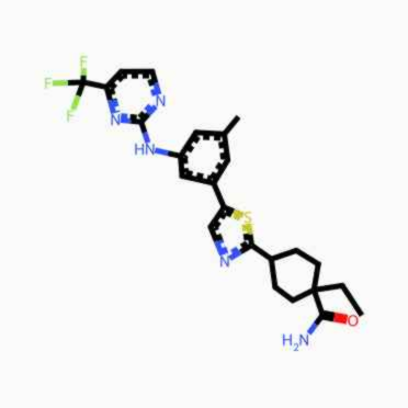 CCC1(C(N)=O)CCC(c2ncc(-c3cc(C)cc(Nc4nccc(C(F)(F)F)n4)c3)s2)CC1